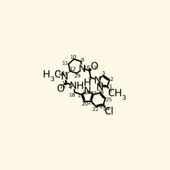 Cc1ccn(CC(=O)N2CCC[C@@H](N(C)C(=O)NCc3cc4cc(Cl)ccc4[nH]3)C2)n1